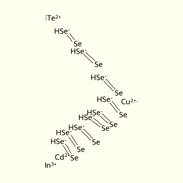 [Cd+2].[Cu+2].[In+3].[Se]=[SeH-].[Se]=[SeH-].[Se]=[SeH-].[Se]=[SeH-].[Se]=[SeH-].[Se]=[SeH-].[Se]=[SeH-].[Se]=[SeH-].[Se]=[SeH-].[Te+2]